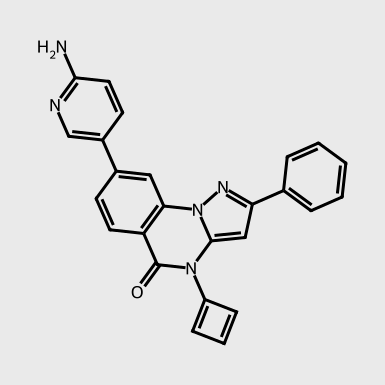 Nc1ccc(-c2ccc3c(=O)n(C4=CC=C4)c4cc(-c5ccccc5)nn4c3c2)cn1